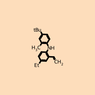 C=Cc1cc(CC)ccc1Nc1ccc(C(C)(C)C)cc1C